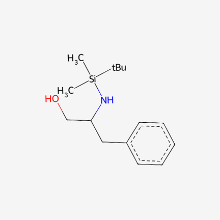 CC(C)(C)[Si](C)(C)NC(CO)Cc1ccccc1